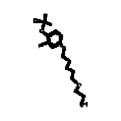 CCC(C)(C)Oc1ccc(OCCOCCOCCO)cc1F